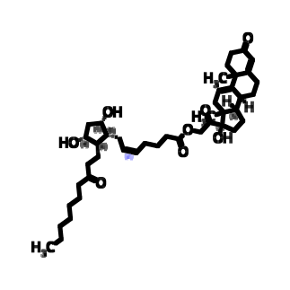 CCCCCCCC(=O)CC[C@@H]1[C@@H](C/C=C\CCCC(=O)OCC(=O)[C@@]2(O)CC[C@H]3[C@@H]4CCC5=CC(=O)CCC5(C)C4=CCC32C)[C@@H](O)C[C@H]1O